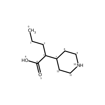 CCCC(C(=O)O)C1CCNCC1